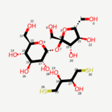 OC[C@H]1O[C@@](CO)(O[C@H]2O[C@H](CO)[C@@H](O)[C@H](O)[C@H]2O)[C@@H](O)[C@@H]1O.O[C@H](CS)[C@H](O)CS